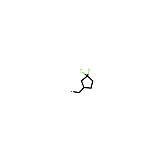 [CH2]CC1CCC(F)(F)C1